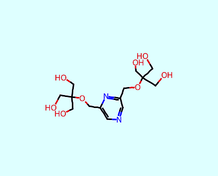 OCC(CO)(CO)OCc1cncc(COC(CO)(CO)CO)n1